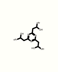 CCCC(O)Cc1nc(CC(O)CCC)nc(CC(O)CCC)n1